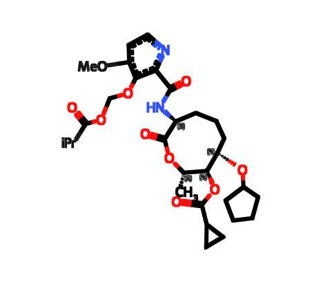 COc1ccnc(C(=O)N[C@H]2CCC[C@H](OC3CCCC3)[C@@H](OC(=O)C3CC3)[C@H](C)OC2=O)c1OCOC(=O)C(C)C